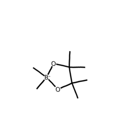 C[B-]1(C)OC(C)(C)C(C)(C)O1